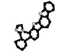 c1ccc2c(c1)oc1c2ccc2c3ccc4c5ccccc5c5nccn5c4c3oc21